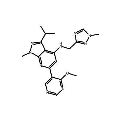 COc1ncncc1-c1cc(NCc2ncn(C)n2)c2c(C(C)C)nn(C)c2n1